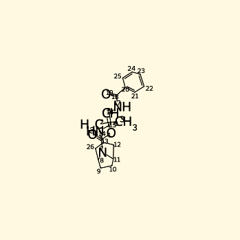 CC(C)(C)OC(=O)N1C2CCC1CC(NCCNC(=O)c1ccccc1)C2